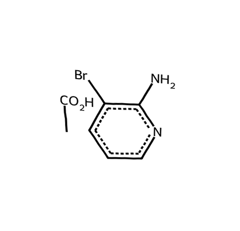 CC(=O)O.Nc1ncccc1Br